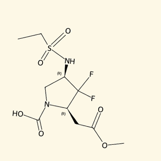 CCS(=O)(=O)N[C@@H]1CN(C(=O)O)[C@H](CC(=O)OC)C1(F)F